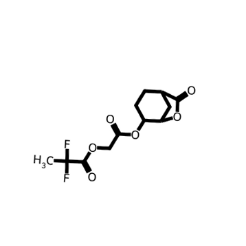 CC(F)(F)C(=O)OCC(=O)OC1CCC2CC1OC2=O